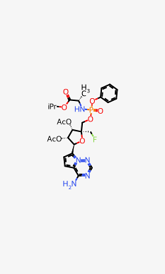 CC(=O)O[C@H]1[C@H](c2ccc3c(N)ncnn23)O[C@](CF)(COP(=O)(N[C@@H](C)C(=O)OC(C)C)Oc2ccccc2)[C@H]1OC(C)=O